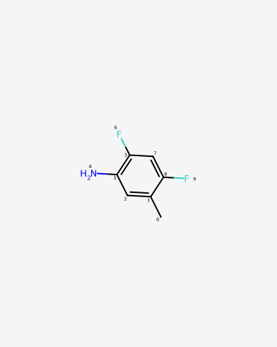 Cc1cc(N)c(F)cc1F